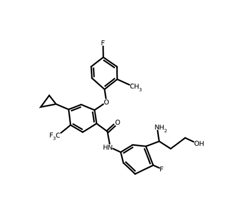 Cc1cc(F)ccc1Oc1cc(C2CC2)c(C(F)(F)F)cc1C(=O)Nc1ccc(F)c(C(N)CCO)c1